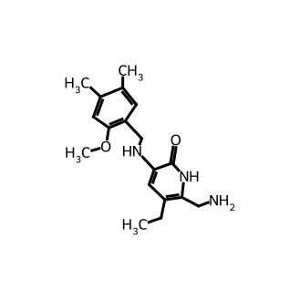 CCc1cc(NCc2cc(C)c(C)cc2OC)c(=O)[nH]c1CN